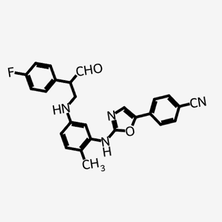 Cc1ccc(NCC(C=O)c2ccc(F)cc2)cc1Nc1ncc(-c2ccc(C#N)cc2)o1